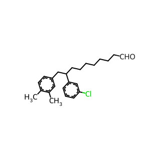 Cc1ccc(CC(CCCCCCCC=O)c2cccc(Cl)c2)cc1C